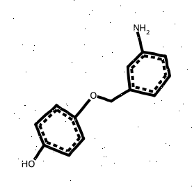 Nc1cccc(COc2ccc(O)cc2)c1